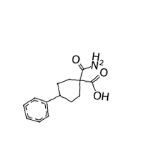 NC(=O)C1(C(=O)O)CCC(c2ccccc2)CC1